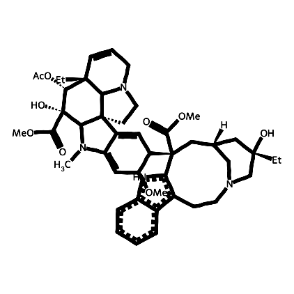 CC[C@]1(O)C[C@@H]2CN(CCc3c([nH]c4ccccc34)[C@@](C(=O)OC)(C3C=C4C(=CC3OC)N(C)C3[C@]45CCN4CC=C[C@](CC)(C45)[C@@H](OC(C)=O)[C@]3(O)C(=O)OC)C2)C1